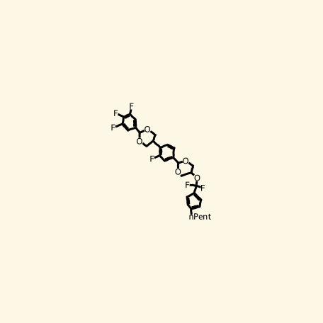 CCCCCc1ccc(C(F)(F)OC2COC(c3ccc(C4COC(c5cc(F)c(F)c(F)c5)OC4)c(F)c3)OC2)cc1